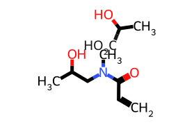 C=CC(=O)N(C)CC(C)O.CC(O)C(=O)O